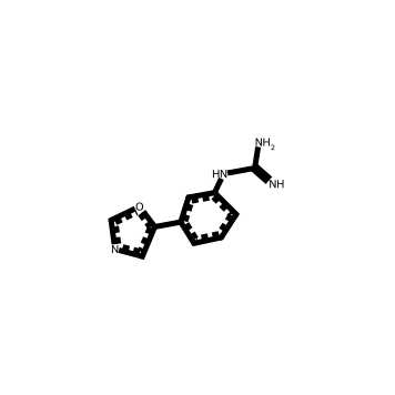 N=C(N)Nc1cccc(-c2cnco2)c1